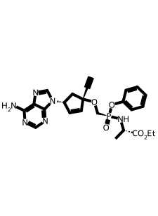 C#C[C@@]1(OC[P@](=O)(N[C@@H](C)C(=O)OCC)Oc2ccccc2)C=C[C@H](n2cnc3c(N)ncnc32)C1